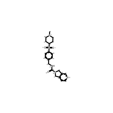 CN1CCC(S(=O)(=O)c2ccc(CNC(=O)N3Cc4ccncc4C3)cc2)CC1